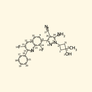 CC1(O)CC(n2nc(-c3ccc4cc(F)c(-c5ccccc5)nc4c3F)c(C#N)c2N)C1